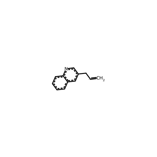 C=[C]Cc1cnc2ccccc2c1